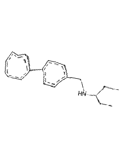 CCC(CC)NCc1ccc(-c2ccccc2)cc1